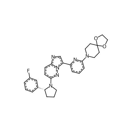 Fc1cccc([C@H]2CCCN2c2ccc3ncc(-c4cccc(N5CCC6(CC5)OCCO6)n4)n3n2)c1